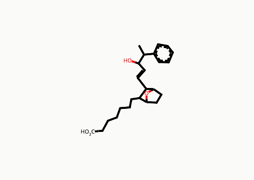 CC(c1ccccc1)C(O)C=CC1C2CCC(O2)C1CCCCCCC(=O)O